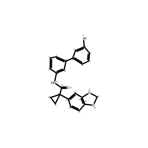 CC(C)c1cccc(-c2cccc(NC(=O)C3(c4ccc5c(c4)OCO5)CC3)c2)c1